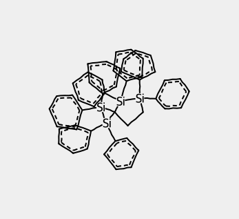 c1ccc([Si]2(c3ccccc3)CCC3([Si]2(c2ccccc2)c2ccccc2)[Si](c2ccccc2)(c2ccccc2)[Si]3(c2ccccc2)c2ccccc2)cc1